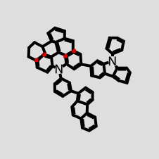 c1ccc(-n2c3ccccc3c3ccc(-c4cccc(N(c5cccc(-c6cccc7c6ccc6ccccc67)c5)c5ccccc5-c5cccc6cccc(C7CCCCC7)c56)c4)cc32)cc1